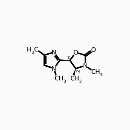 Cc1cn(C)c([C@H]2OC(=O)N(C)[C@H]2C)n1